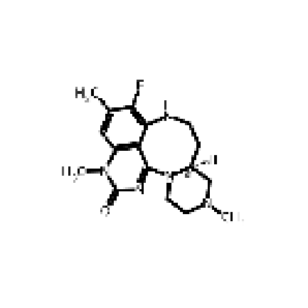 Cc1cc2c3c(nc(=O)n2C)N2CCN(C)C[C@@H]2CCNc3c1F